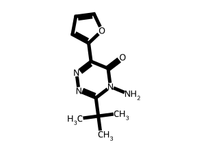 CC(C)(C)c1nnc(-c2ccco2)c(=O)n1N